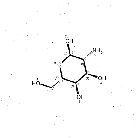 N[C@@H]1[C@@H](O)[C@@H](O)[C@H](CO)O[C@H]1O